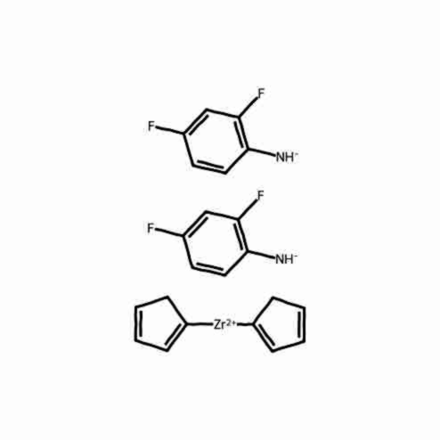 C1=CC[C]([Zr+2][C]2=CC=CC2)=C1.[NH-]c1ccc(F)cc1F.[NH-]c1ccc(F)cc1F